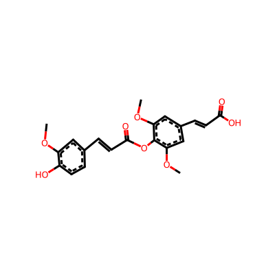 COc1cc(C=CC(=O)Oc2c(OC)cc(C=CC(=O)O)cc2OC)ccc1O